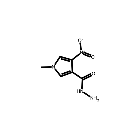 Cn1cc(C(=O)NN)c([N+](=O)[O-])c1